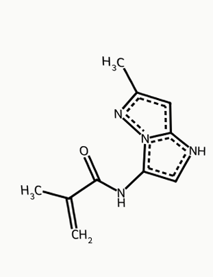 C=C(C)C(=O)Nc1c[nH]c2cc(C)nn12